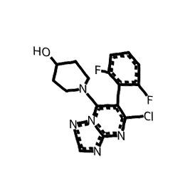 OC1CCN(c2c(-c3c(F)cccc3F)c(Cl)nc3ncnn23)CC1